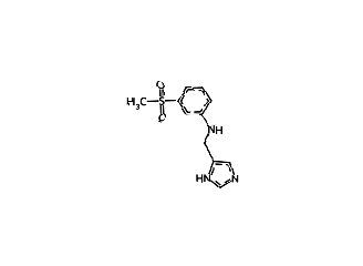 CS(=O)(=O)c1cccc(NCc2cnc[nH]2)c1